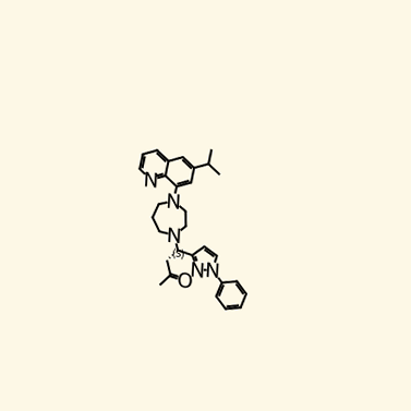 CC(=O)C[C@@H](c1ccn(-c2ccccc2)n1)N1CCCN(c2cc(C(C)C)cc3cccnc23)CC1